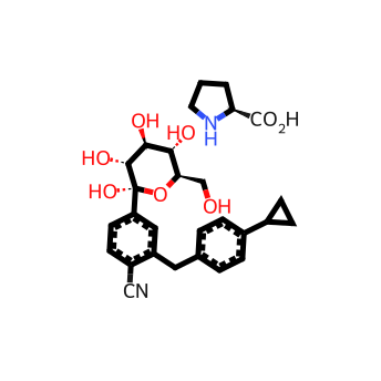 N#Cc1ccc([C@]2(O)O[C@H](CO)[C@@H](O)[C@H](O)[C@H]2O)cc1Cc1ccc(C2CC2)cc1.O=C(O)[C@@H]1CCCN1